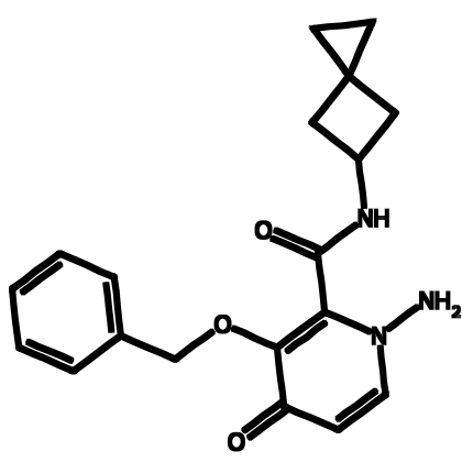 Nn1ccc(=O)c(OCc2ccccc2)c1C(=O)NC1CC2(CC2)C1